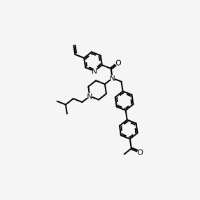 C=Cc1ccc(C(=O)N(Cc2ccc(-c3ccc(C(C)=O)cc3)cc2)C2CCN(CCC(C)C)CC2)nc1